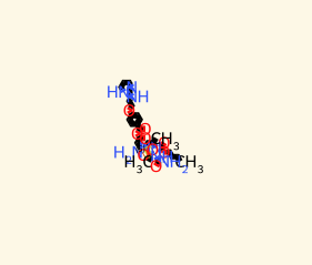 CCCCOC(=O)NC(C)CN([C@H](N)CC(=O)OC(=O)c1ccc(OCCNC2=NCCCN2)cc1)S(=O)(=O)C(C)NC(N)=O